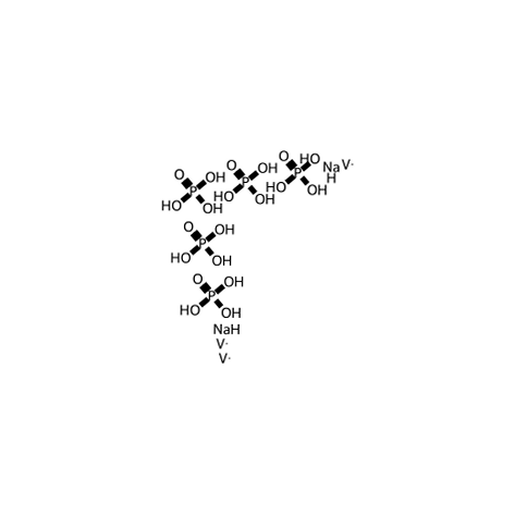 O=P(O)(O)O.O=P(O)(O)O.O=P(O)(O)O.O=P(O)(O)O.O=P(O)(O)O.[NaH].[NaH].[V].[V].[V]